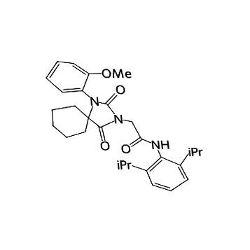 COc1ccccc1N1C(=O)N(CC(=O)Nc2c(C(C)C)cccc2C(C)C)C(=O)C12CCCCC2